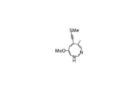 COc1c[nH]cncc(C)c(C#CSC)c1